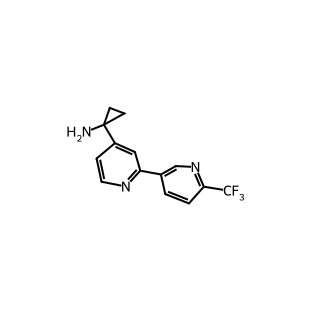 NC1(c2ccnc(-c3ccc(C(F)(F)F)nc3)c2)CC1